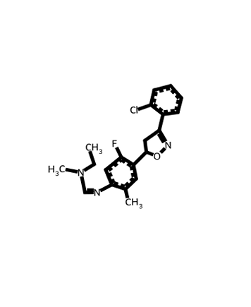 CCN(C)/C=N\c1cc(F)c(C2CC(c3ccccc3Cl)=NO2)cc1C